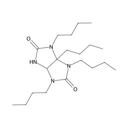 CCCCN1C(=O)N(CCCC)C2(CCCC)C1NC(=O)N2CCCC